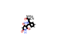 CNC(=O)/C(C#N)=c1\[nH]/c(=C2\C(=O)CC(=O)NC2=O)c2ccccc12